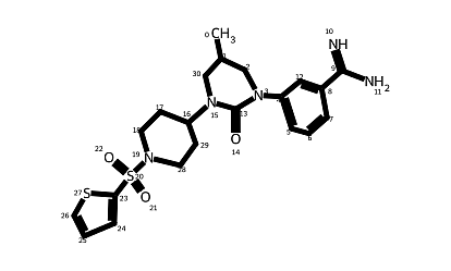 CC1CN(c2cccc(C(=N)N)c2)C(=O)N(C2CCN(S(=O)(=O)c3cccs3)CC2)C1